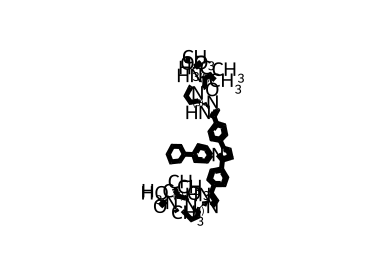 COC(=O)N[C@H](C(=O)N1CCC[C@H]1c1ncc(-c2ccc(-c3ccc(-c4ccc(-c5cnc([C@@H]6CCCN6C(=O)[C@@H](N(C)C(=O)O)C(C)(C)C)[nH]5)cc4)n3-c3ccc(C4CCCCC4)cc3)cc2)[nH]1)C(C)(C)C